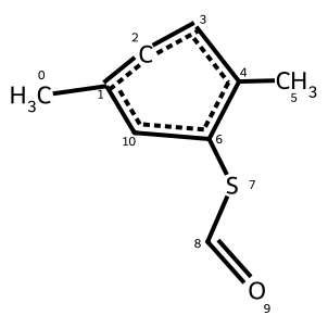 Cc1ccc(C)c(SC=O)c1